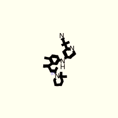 C=C(/C=C(\C)N1CCCCC1(C)C)c1cc(Nc2ccnc(C(C)(C)C#N)c2)ccc1C